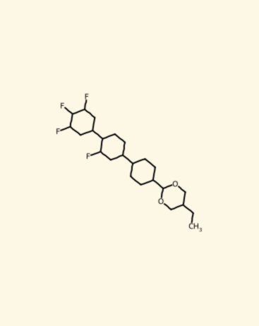 CCC1COC(C2CCC(C3CCC(C4CC(F)C(F)C(F)C4)C(F)C3)CC2)OC1